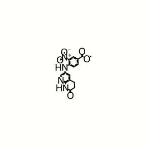 COC(=O)c1ccc(Nc2cnc3c(c2)CCC(=O)N3)c([N+](=O)[O-])c1